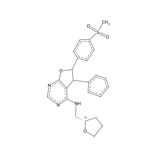 CS(=O)(=O)c1ccc(C2Oc3ncnc(NC[C@@H]4CCCO4)c3C2c2ccccc2)cc1